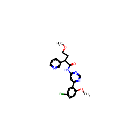 COCCC(C(=O)Nc1cc(-c2cc(F)ccc2OC)ncn1)c1cccnc1